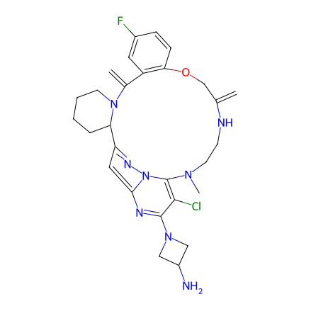 C=C1COc2ccc(F)cc2C(=C)N2CCCCC2c2cc3nc(N4CC(N)C4)c(Cl)c(n3n2)N(C)CCN1